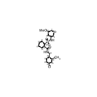 COc1cncc(NS(=O)(=O)c2ccccc2C(=O)NCc2ccc(Cl)cc2C)c1